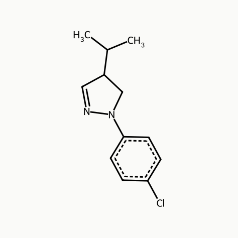 CC(C)C1C=NN(c2ccc(Cl)cc2)C1